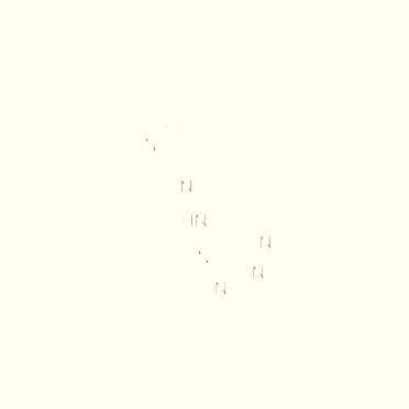 CNc1nc2[nH]c(-c3cccc(CN(C)C(C)=O)n3)cc2c2c1ncn2C